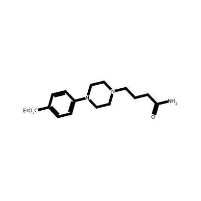 CCOC(=O)c1ccc(N2CCN(CCCC(N)=O)CC2)cc1